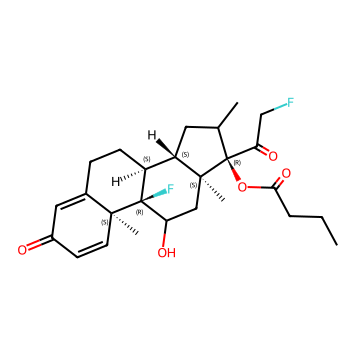 CCCC(=O)O[C@]1(C(=O)CF)C(C)C[C@H]2[C@@H]3CCC4=CC(=O)C=C[C@]4(C)[C@@]3(F)C(O)C[C@@]21C